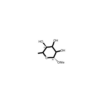 CO[C@@H]1OC(C)[C@@H](O)C(O)C1O